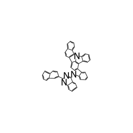 c1ccc2cc(-c3nc(-n4c5ccccc5c5c6c7ccccc7n7c8c9ccccc9ccc8c(cc54)c67)c4ccccc4n3)ccc2c1